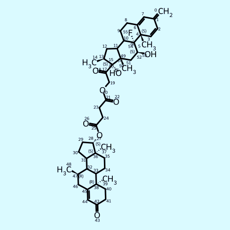 C=C1C=C[C@@]2(C)C(=C1)CCC1C3C[C@H](C)[C@](O)(C(=O)COC(=O)CCC(=O)O[C@H]4CCC5C6C(CC[C@@]54C)[C@@]4(C)CCC(=O)C=C4C[C@H]6C)[C@@]3(C)C[C@H](O)[C@@]12F